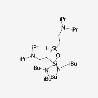 CCC(C)N(C(C)CC)[Si](CCN(C(C)C)C(C)C)(O[SiH2]CCN(C(C)C)C(C)C)N(C(C)CC)C(C)CC